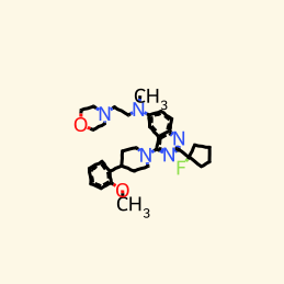 COc1ccccc1C1CCN(c2nc(C3(F)CCCC3)nc3ccc(N(C)CCN4CCOCC4)cc23)CC1